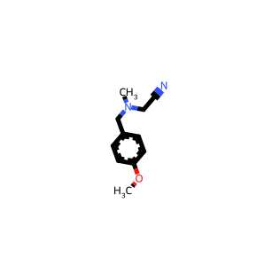 COc1ccc(CN(C)CC#N)cc1